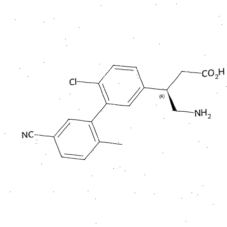 Cc1ccc(C#N)cc1-c1cc([C@H](CN)CC(=O)O)ccc1Cl